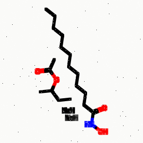 CCC(C)OC(C)=O.CCCCCCCCCCCC(=O)NO.[NaH].[NaH]